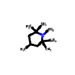 [CH2]C1CC(C)(C)N(C)C(C)(C)C1